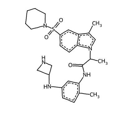 Cc1ccc(NC2CNC2)cc1NC(=O)C(C)n1cc(C)c2cc(S(=O)(=O)N3CCCCC3)ccc21